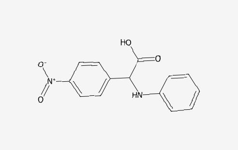 O=C(O)C(Nc1ccccc1)c1ccc([N+](=O)[O-])cc1